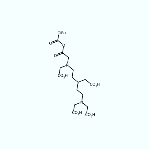 CC(C)COC(=O)OC(=O)CN(CCN(CCN(CC(=O)O)CC(=O)O)CC(=O)O)CC(=O)O